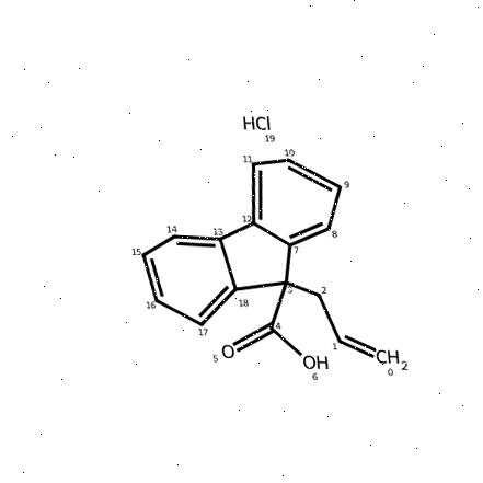 C=CCC1(C(=O)O)c2ccccc2-c2ccccc21.Cl